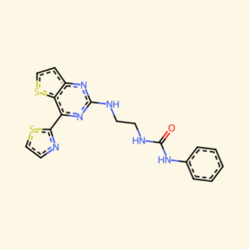 O=C(NCCNc1nc(-c2nccs2)c2sccc2n1)Nc1ccccc1